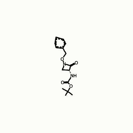 CC(C)(C)OC(=O)N[C@@H]1CN(OCc2ccccc2)C1=O